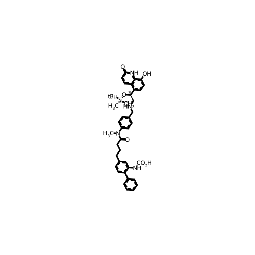 CN(C(=O)CCCc1ccc(-c2ccccc2)c(NC(=O)O)c1)c1ccc(CNC[C@@H](O[Si](C)(C)C(C)(C)C)c2ccc(O)c3[nH]c(=O)ccc23)cc1